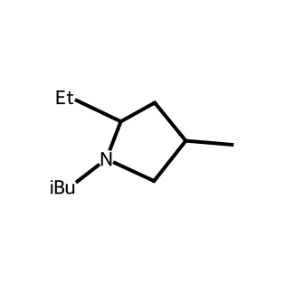 CCC(C)N1CC(C)CC1CC